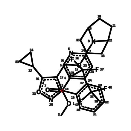 COC(=O)c1cnc(N2C3CCC2CC(OCc2c(-c4ccccc4C(F)(F)F)noc2C2CC2)C3)cc1C(F)(F)F